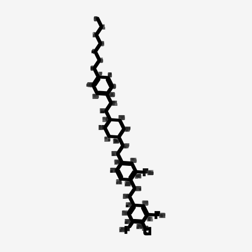 CCCCCCCc1ccc(CCC2CCC(CCc3ccc(CCc4cc(F)c(Cl)c(F)c4)c(F)c3)CC2)cc1